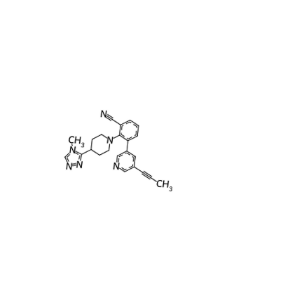 CC#Cc1cncc(-c2cccc(C#N)c2N2CCC(c3nncn3C)CC2)c1